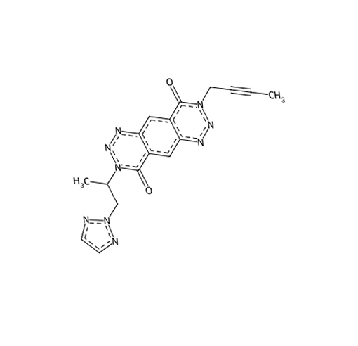 CC#CCn1nnc2cc3c(=O)n(C(C)Cn4nccn4)nnc3cc2c1=O